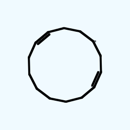 [CH]1C/C=C\CCCCCC/C=C\CC1